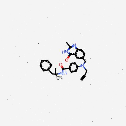 C#CCN(Cc1ccc2nc(C)[nH]c(=O)c2c1)c1ccc(C(=O)NC(C)(C#N)Cc2ccccc2)cc1